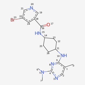 Cc1cnc(N(C)C)nc1NC1CCC(NC(=O)c2cncc(Br)c2)CC1